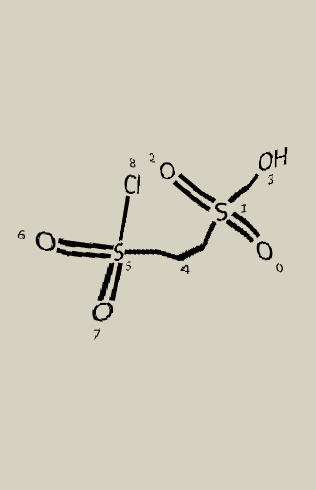 O=S(=O)(O)CS(=O)(=O)Cl